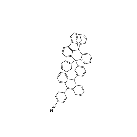 N#CC1=CCC(C2=C3C=CC=CC3C(c3cccc(C4(C5=CC=CCC5)c5ccccc5C5(c6ccccc6)c6c(cccc64)C4=CC=CCC45)c3)c3ccccc32)C=C1